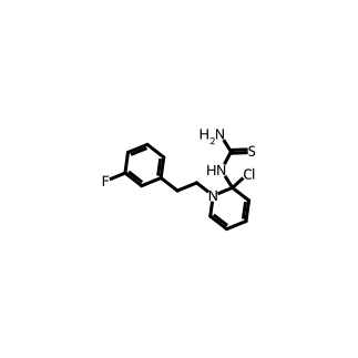 NC(=S)NC1(Cl)C=CC=CN1CCc1cccc(F)c1